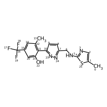 Cc1cnc(NCc2ccc(-c3c(C)cc(C(F)(F)F)cc3O)nn2)s1